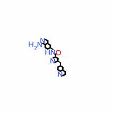 Nc1nccc2cc(CNC(=O)c3cncc(Cc4ccc5ncccc5c4)c3)ccc12